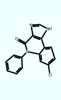 O=c1c2nc[nH]c2c2ccc(Cl)cc2n1-c1ccccc1